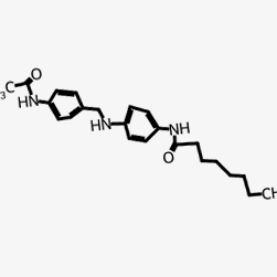 CCCCCCCC(=O)Nc1ccc(NCc2ccc(NC(C)=O)cc2)cc1